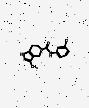 Cc1n[nH]c2c1CN(C(=O)Nc1cccc(Cl)c1)CC2